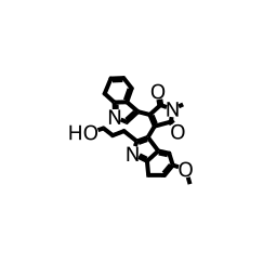 COC1=CCC2=NC(CCCO)=C(C3=C(C4=CN=C5CC=CC=C45)C(=O)N(C)C3=O)C2=C1